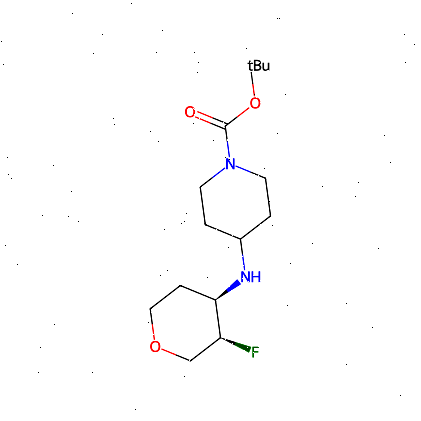 CC(C)(C)OC(=O)N1CCC(N[C@@H]2CCOC[C@@H]2F)CC1